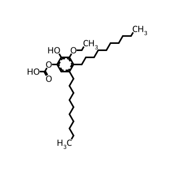 CCCCCCCCCCc1cc(OC(=O)O)c(O)c(OCC)c1CCCCCCCCCC